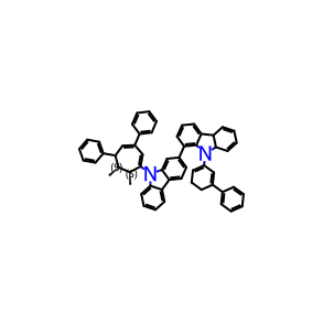 C[C@@H]1C(n2c3ccccc3c3ccc(-c4cccc5c4N(C4=CCCC(c6ccccc6)=C4)C4C=CC=CC54)cc32)=CC(c2ccccc2)=CC(c2ccccc2)[C@@H]1C